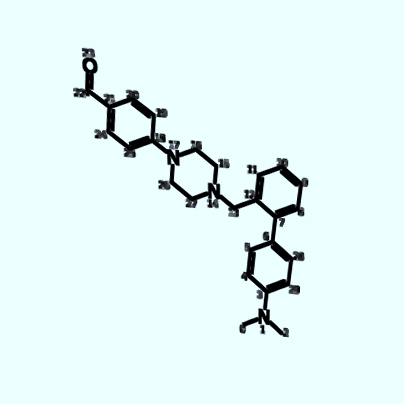 CN(C)c1ccc(-c2ccccc2CN2CCN(c3ccc([C]=O)cc3)CC2)cc1